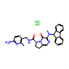 Cc1nc(N)ccc1CNC(=O)[C@@H]1CCc2cnc(N(C)C3c4ccccc4-c4ccccc43)c(=O)n21.Cl.Cl